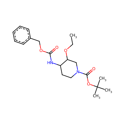 CCOC1CN(C(=O)OC(C)(C)C)CCC1NC(=O)OCc1ccccc1